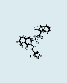 Cc1nn2cccnc2c1C(=O)N[C@@H](C)c1cc2cccc(Cl)c2c(=O)n1CCc1nnn[nH]1